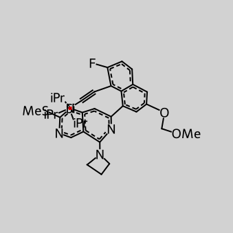 COCOc1cc(-c2cc3nc(SC)ncc3c(N3CCC3)n2)c2c(C#C[Si](C(C)C)(C(C)C)C(C)C)c(F)ccc2c1